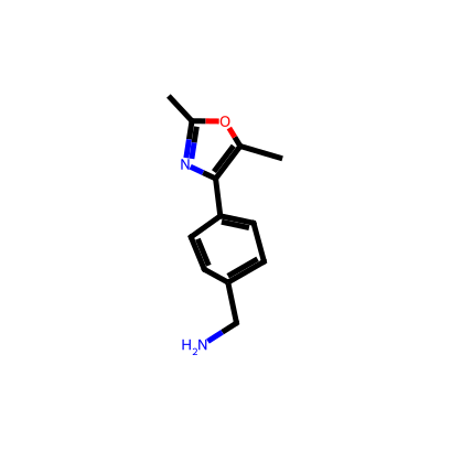 Cc1nc(-c2ccc(CN)cc2)c(C)o1